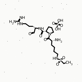 CCS(=O)(=O)NCCCC[C@@H](N)C(=O)N1CCC[C@H]1C(=O)N[C@H](C=O)CCCNC(=N)N.O=S(=O)(O)O